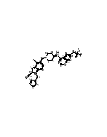 Cc1c(CN2CCC(Nc3ncnc4sc(CC(F)(F)F)cc34)CC2)ccc2c1cc(C#N)n2CC1=CCN=C1